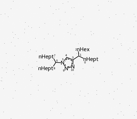 CCCCCCCC(CCCCCC)c1cn(C(CCCCCCC)CCCCCCC)nn1